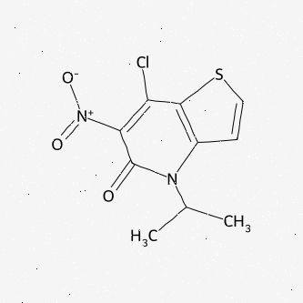 CC(C)n1c(=O)c([N+](=O)[O-])c(Cl)c2sccc21